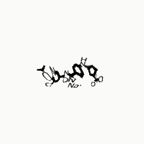 CC(C)Oc1ncc(-c2nc(-c3ccc(N[C@H]4CC[C@@H](C(=O)[O-])C4)cc3)no2)cc1Cl.[Na+]